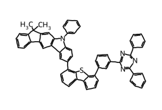 CC1(C)c2ccccc2-c2cc3c4cc(-c5cccc6c5sc5c(-c7cccc(-c8nc(-c9ccccc9)nc(-c9ccccc9)n8)c7)cccc56)ccc4n(-c4ccccc4)c3cc21